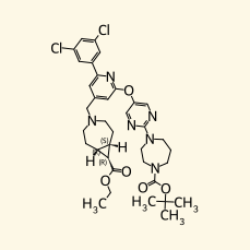 CCOC(=O)[C@H]1[C@@H]2CCN(Cc3cc(Oc4cnc(N5CCCN(C(=O)OC(C)(C)C)CC5)nc4)nc(-c4cc(Cl)cc(Cl)c4)c3)CC[C@@H]21